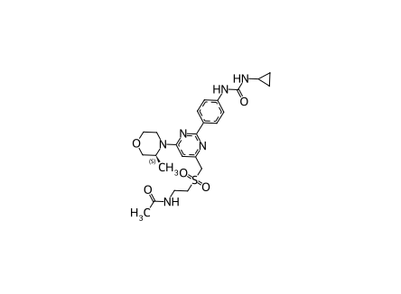 CC(=O)NCCS(=O)(=O)Cc1cc(N2CCOC[C@@H]2C)nc(-c2ccc(NC(=O)NC3CC3)cc2)n1